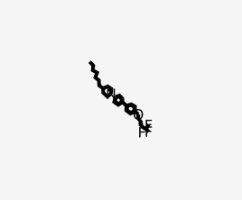 CCCCCCCC1CCN(c2ccc(-c3ccc(OCC=CC(F)(F)F)cc3)cc2)CC1